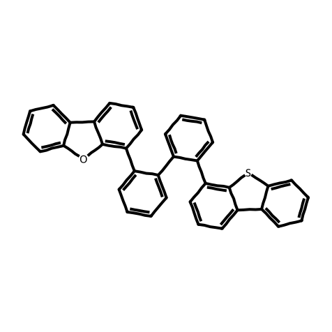 c1ccc(-c2cccc3c2oc2ccccc23)c(-c2ccccc2-c2cccc3c2sc2ccccc23)c1